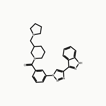 O=C(c1cccc(-n2cc(-c3n[nH]c4ccccc34)nn2)c1)N1CCCC(CN2CCCC2)C1